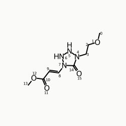 COCCN1NNN(/C=C/C(=O)OC)C1=O